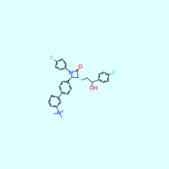 C[N+](C)(C)c1cccc(-c2ccc([C@@H]3[C@@H](CC[C@H](O)c4ccc(F)cc4)C(=O)N3c3ccc(F)cc3)cc2)c1